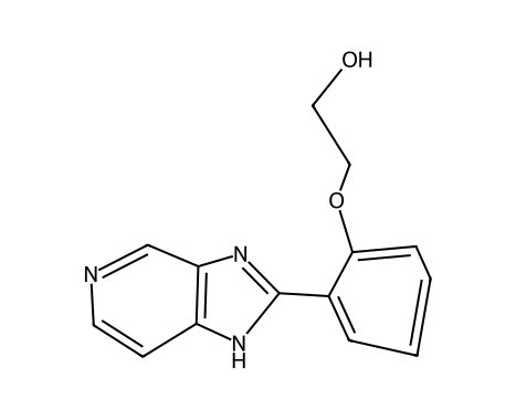 OCCOc1ccccc1-c1nc2cnccc2[nH]1